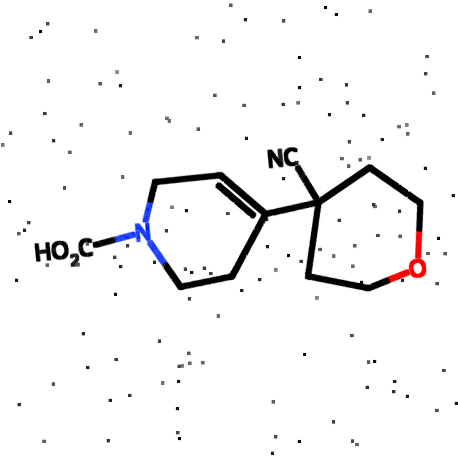 N#CC1(C2=CCN(C(=O)O)CC2)CCOCC1